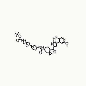 COc1cc(-c2cc(C(=O)N3CC[C@H](C(=O)NC4CCN(C5CC6(CN(C(=O)OC(C)(C)C)C6)O5)C4)CC34CC4)n[nH]2)c(F)cn1